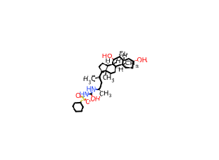 CC[C@H]1[C@@H](O)[C@@H]2[C@H](CC[C@]3(C)[C@@H]([C@H](C)C[C@H](C)NC(O)NS(=O)(=O)C4CCCCC4)CC[C@@H]23)[C@@]2(C)CC[C@@H](O)C[C@@H]12